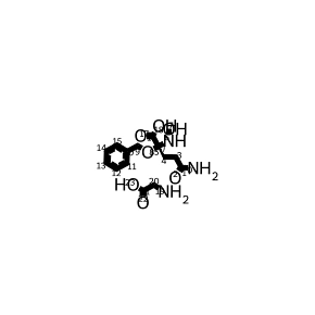 NC(=O)CC[C@@](NO)(OCc1ccccc1)C(=O)O.NCC(=O)O